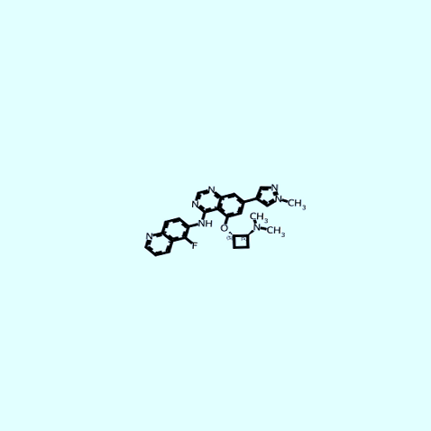 CN(C)[C@H]1CC[C@@H]1Oc1cc(-c2cnn(C)c2)cc2ncnc(Nc3ccc4ncccc4c3F)c12